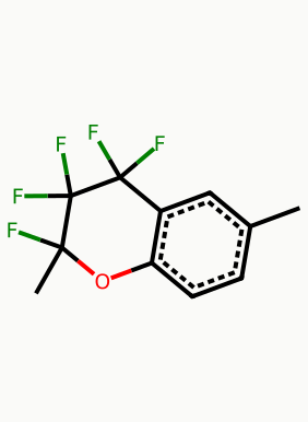 Cc1ccc2c(c1)C(F)(F)C(F)(F)C(C)(F)O2